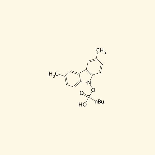 CCCCP(=O)(O)On1c2ccc(C)cc2c2cc(C)ccc21